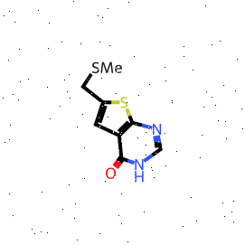 CSCc1cc2c(=O)[nH]cnc2s1